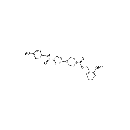 COc1ccccc1COC(=O)N1CCN(c2ccc(C(=O)Nc3ccc(O)cc3)cc2)CC1